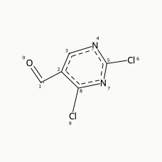 O=[C]c1cnc(Cl)nc1Cl